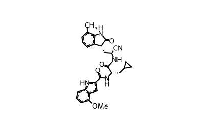 COc1cccc2[nH]c(C(=O)N[C@@H](CC3CC3)C(=O)N[C@H](C#N)C[C@H]3C(=O)Nc4c(C)cccc43)cc12